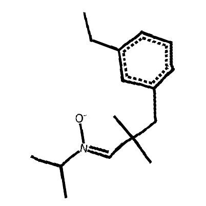 CCc1cccc(CC(C)(C)C=[N+]([O-])C(C)C)c1